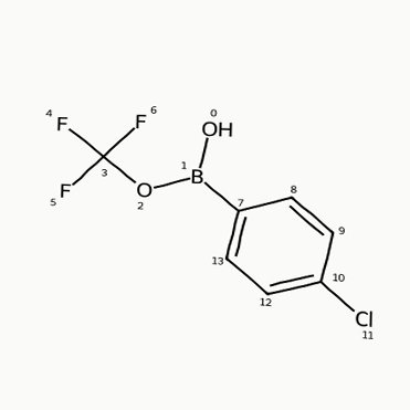 OB(OC(F)(F)F)c1ccc(Cl)cc1